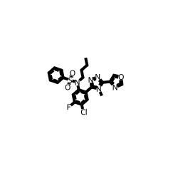 CCCCN(c1cc(F)c(Cl)cc1-c1nnc(-c2cocn2)n1C)S(=O)(=O)c1ccccc1